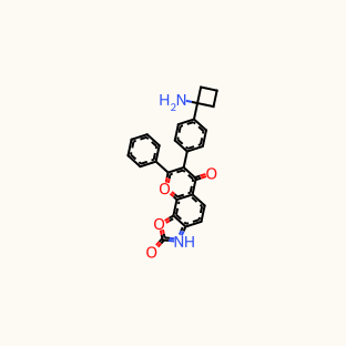 NC1(c2ccc(-c3c(-c4ccccc4)oc4c(ccc5[nH]c(=O)oc54)c3=O)cc2)CCC1